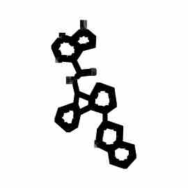 O=C(NC1c2ccccc2-c2c(-c3cnc4ccccc4c3)cccc21)c1ncnc2[nH]ccc12